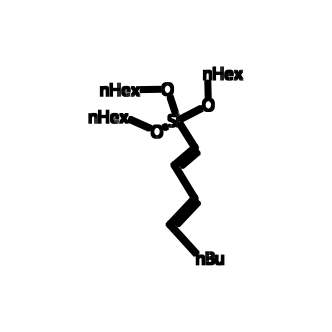 CCCCC=CC=C[Si](OCCCCCC)(OCCCCCC)OCCCCCC